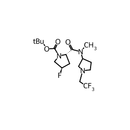 CN(C(=O)[C@@H]1C[C@@H](F)CN1C(=O)OC(C)(C)C)C1CCN(CC(F)(F)F)C1